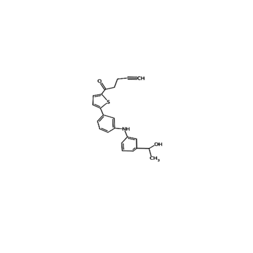 C#CCCC(=O)c1ccc(-c2cccc(Nc3cccc(C(C)O)c3)c2)s1